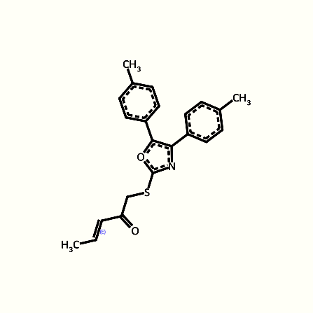 C/C=C/C(=O)CSc1nc(-c2ccc(C)cc2)c(-c2ccc(C)cc2)o1